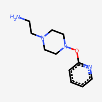 NCCN1CCN(Oc2ccccn2)CC1